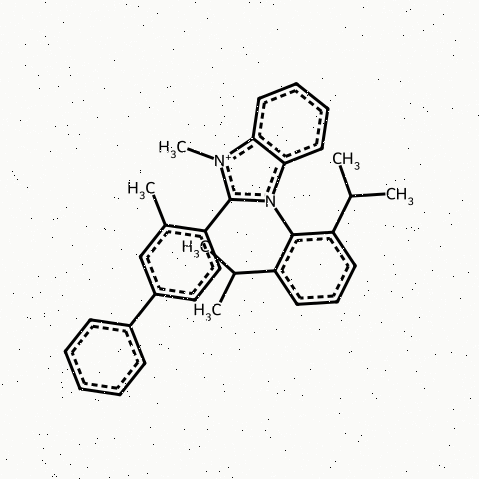 Cc1cc(-c2ccccc2)ccc1-c1n(-c2c(C(C)C)cccc2C(C)C)c2ccccc2[n+]1C